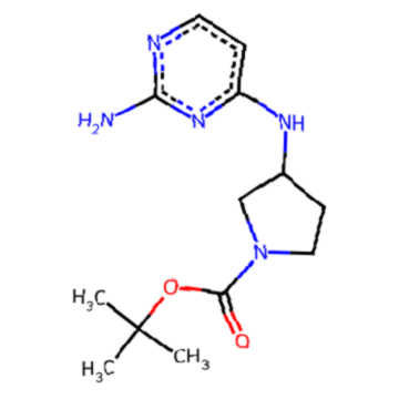 CC(C)(C)OC(=O)N1CCC(Nc2ccnc(N)n2)C1